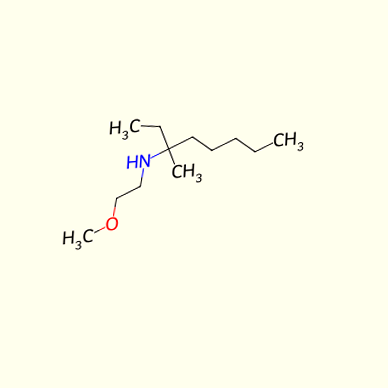 CCCCCC(C)(CC)NCCOC